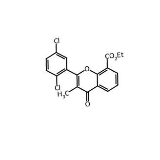 CCOC(=O)c1cccc2c(=O)c(C)c(-c3cc(Cl)ccc3Cl)oc12